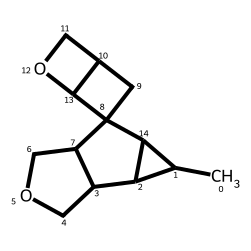 CC1C2C3COCC3C3(CC4COC43)C12